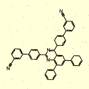 N#Cc1cccc(C2=CCC(c3nc(-c4ccc(-c5cccc(C#N)c5)cc4)nc4c(-c5ccccc5)cc(C5=CC=CCC5)cc34)C=C2)c1